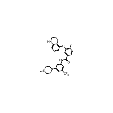 Cc1ccc(C(=O)Nc2cc(N3CCN(C)CC3)cc(C(F)(F)F)c2)cc1Oc1ccnc2c1OCCN2